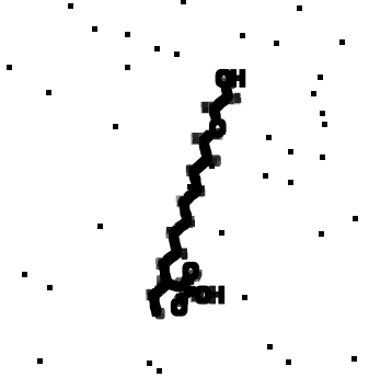 CCC(CCCCCCCCCOCCO)S(=O)(=O)O